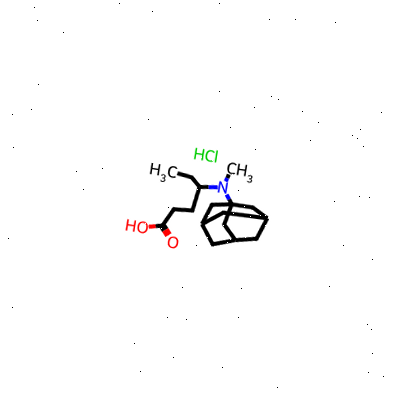 CCC(CCC(=O)O)N(C)C12CC3CC(CC(C3)C1)C2.Cl